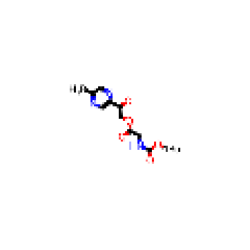 Bc1cnc(C(=O)COC(=O)CNC(=O)OC(C)(C)C)cn1